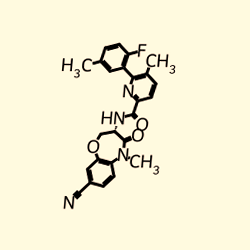 Cc1ccc(F)c(-c2nc(C(=O)N[C@H]3COc4cc(C#N)ccc4N(C)C3=O)ccc2C)c1